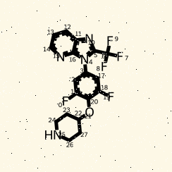 Fc1cc(-n2c(C(F)(F)F)nc3cccnc32)cc(F)c1OC1CCNCC1